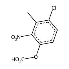 Cc1c(Cl)ccc(OC(=O)O)c1[N+](=O)[O-]